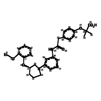 CCOc1cccnc1O[C@@H]1CCCN(c2cncc(NC(=O)Cc3ccc(OC(C)(C)C(=O)O)cc3)n2)C1